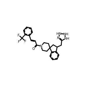 O=C(/C=C/c1ccccc1C(F)(F)F)N1CCC2(CC1)CC(CC1=NNNN1)c1ccccc12